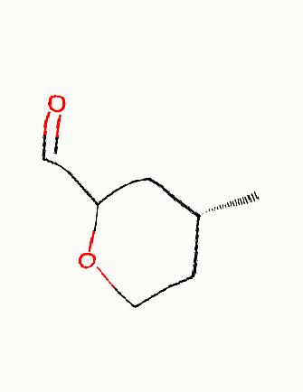 C[C@@H]1CCOC(C=O)C1